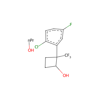 CCCO.OC1CCC1(c1cc(F)ccc1Cl)C(F)(F)F